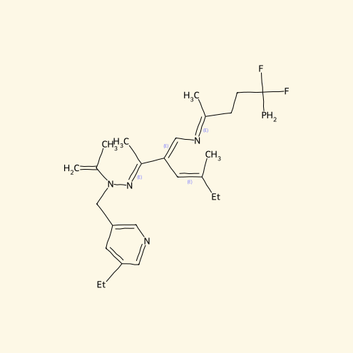 C=C(C)N(Cc1cncc(CC)c1)/N=C(C)/C(/C=C(\C)CC)=C/N=C(\C)CCC(F)(F)P